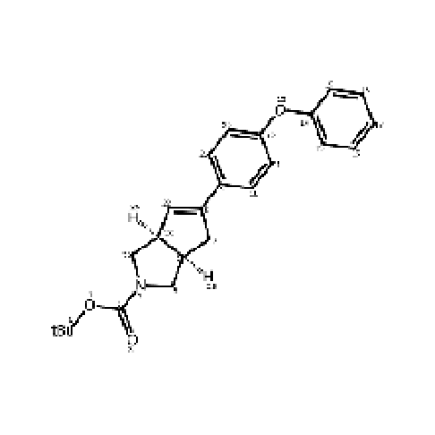 CC(C)(C)OC(=O)N1C[C@@H]2CC(c3ccc(Oc4ccccc4)cc3)=C[C@@H]2C1